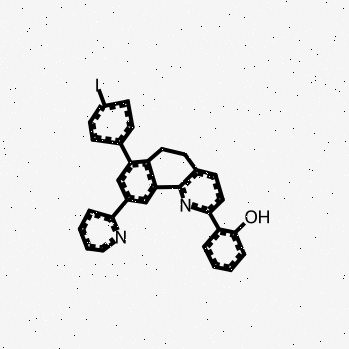 Oc1ccccc1-c1ccc2c(n1)-c1cc(-c3ccccn3)cc(-c3ccc(I)cc3)c1CC2